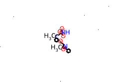 C/C(=C/CC1OC(=O)NC1=O)c1cccc(OCCc2nc(-c3ccccc3)oc2C)c1